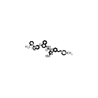 CC1CCCCN1c1nnc2ccc(O[C@@H]3CC[C@H](NC(=O)Nc4cc(C(C)(C)C)nn4-c4cccc(CCN5CCCN(C)CC5)c4)c4ccccc43)cn12